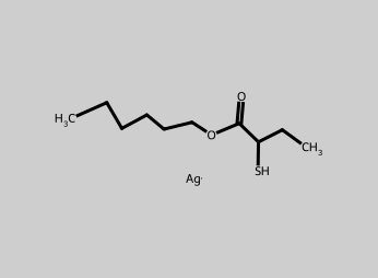 CCCCCCOC(=O)C(S)CC.[Ag]